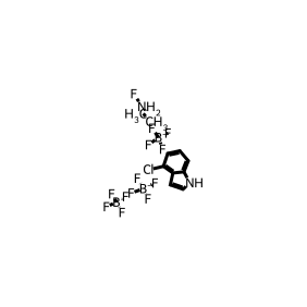 CC.Clc1cccc2[nH]ccc12.F[B-](F)(F)F.F[B-](F)(F)F.F[B-](F)(F)F.NF